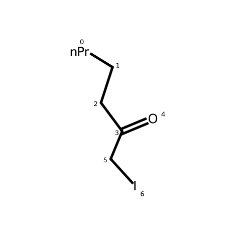 CCCCCC(=O)CI